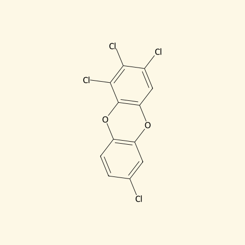 Clc1ccc2c(c1)Oc1cc(Cl)c(Cl)c(Cl)c1O2